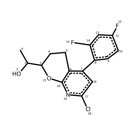 CC(O)C1CCc2c(-c3ccc(F)cc3F)cc(Cl)nc2O1